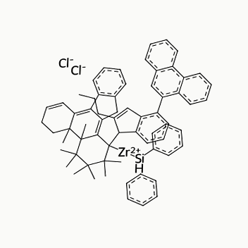 CCCC1=Cc2c(-c3cc4ccccc4c4ccccc34)cccc2C1[C]1([Zr+2][SiH](c2ccccc2)c2ccccc2)C2=C3Cc4ccccc4C3=C3C=CCCC3(C)C2(C)C(C)(C)C(C)(C)C1(C)C.[Cl-].[Cl-]